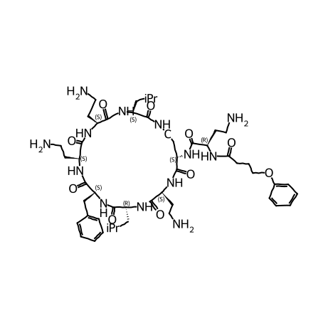 CC(C)C[C@@H]1NC(=O)[C@H](CCN)NC(=O)[C@H](CCN)NC(=O)[C@H](Cc2ccccc2)NC(=O)[C@@H](CC(C)C)NC(=O)[C@H](CCN)NC(=O)[C@@H](NC(=O)[C@@H](CCN)NC(=O)CCCOc2ccccc2)CCNC1=O